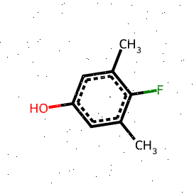 Cc1cc(O)cc(C)c1F